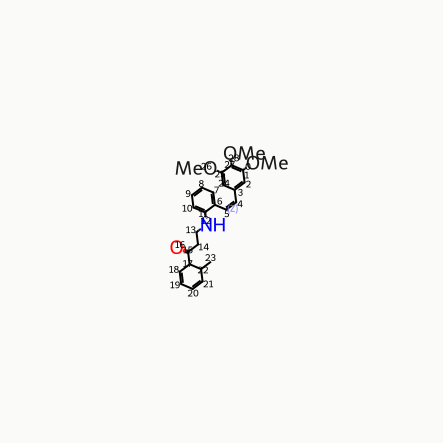 COc1cc(/C=C\c2ccccc2NCCC(=O)C2C=CC=CC2C)cc(OC)c1OC